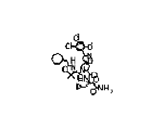 COc1cc(OC)c(C2=NO[C@]3(C2)CC(C(=O)N[C@@H](CC2CC2)C(=O)C(N)=O)N(C(=O)[C@@H](NC(=O)CC2CCCCCC2)C(C)(C)C)C3)cc1Cl